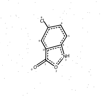 O=c1o[nH]c2ccc(Cl)cc12